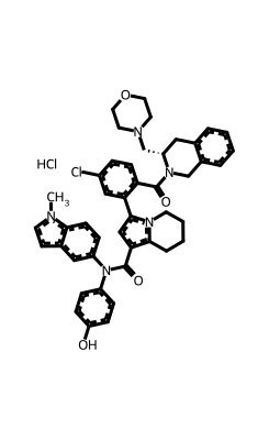 Cl.Cn1ccc2cc(N(C(=O)c3cc(-c4cc(Cl)ccc4C(=O)N4Cc5ccccc5C[C@H]4CN4CCOCC4)n4c3CCCC4)c3ccc(O)cc3)ccc21